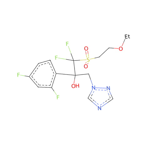 CCOCCS(=O)(=O)C(F)(F)C(O)(Cn1cncn1)c1ccc(F)cc1F